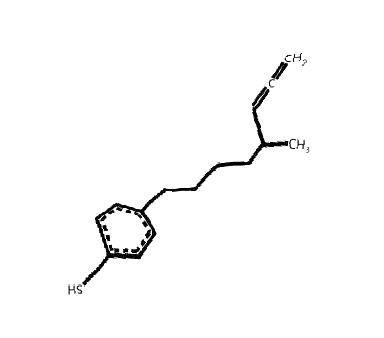 C=C=CC(C)CCCCc1ccc(S)cc1